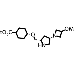 CCOC(=O)[C@H]1CC[C@H](OC[C@@H]2C[C@H](N3CC(OC)C3)CN2)CC1